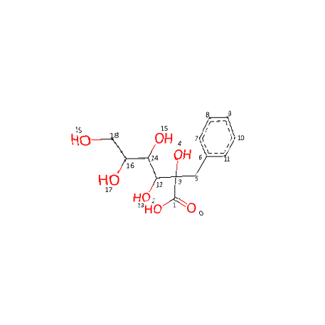 O=C(O)C(O)(Cc1ccccc1)C(O)C(O)C(O)CO